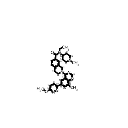 CCN(C(=O)c1ccc2c(c1)CN(c1ncnc3c(C)cc(-c4ccc(OC)nn4)cc13)CC2)C1CCN(C)CC1